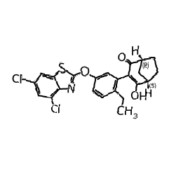 CCc1ccc(Oc2nc3c(Cl)cc(Cl)cc3s2)cc1C1=C(O)[C@H]2CC[C@H](C2)C1=O